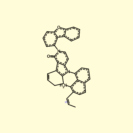 C/C=C\c1ccc2cccc(-n3c4c(c5c(=O)n(-c6cccc7oc8ccccc8c67)ccc53)C=CCC4)c2c1N